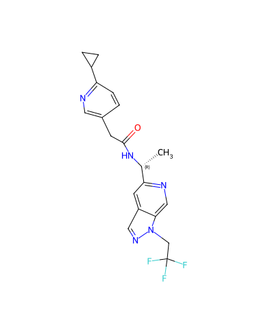 C[C@@H](NC(=O)Cc1ccc(C2CC2)nc1)c1cc2cnn(CC(F)(F)F)c2cn1